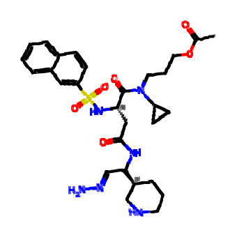 CC(=O)OCCCN(C(=O)[C@H](CC(=O)NC(C=NN)[C@H]1CCCNC1)NS(=O)(=O)c1ccc2ccccc2c1)C1CC1